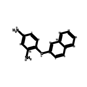 Nc1ccc(Oc2ccc3ccccc3c2)c(N)c1